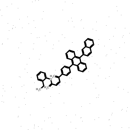 C=C(/C=C\C(=C)c1ccc(-c2c3ccccc3c(-c3ccc4ccccc4c3)c3ccccc23)cc1)Oc1ccccc1CC